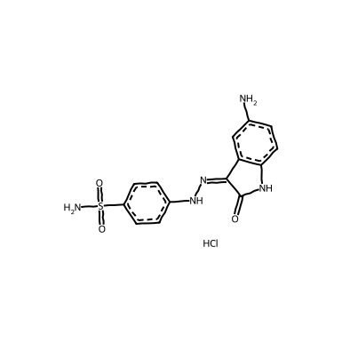 Cl.Nc1ccc2c(c1)C(=NNc1ccc(S(N)(=O)=O)cc1)C(=O)N2